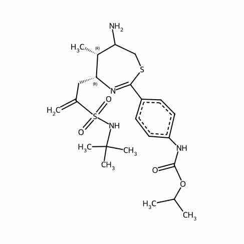 C=C(C[C@H]1N=C(c2ccc(NC(=O)OC(C)C)cc2)SCC(N)[C@H]1C)S(=O)(=O)NC(C)(C)C